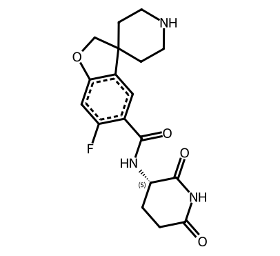 O=C1CC[C@H](NC(=O)c2cc3c(cc2F)OCC32CCNCC2)C(=O)N1